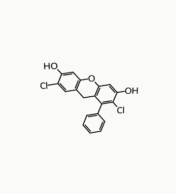 Oc1cc2c(cc1Cl)Cc1c(cc(O)c(Cl)c1-c1ccccc1)O2